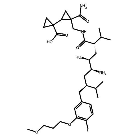 COCCCOc1cc(C[C@@H](C[C@H](N)[C@@H](O)C[C@H](C(=O)NCC2(C(N)=O)CC2C2(C(=O)O)CC2)C(C)C)C(C)C)ccc1F